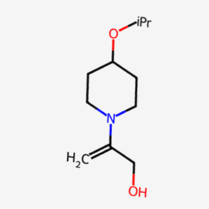 C=C(CO)N1CCC(OC(C)C)CC1